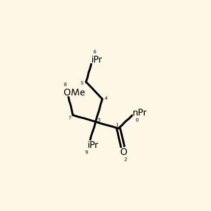 CCCC(=O)C(CCC(C)C)(COC)C(C)C